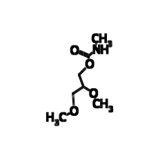 CNC(=O)OCC(COC)OC